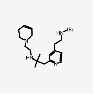 CC(C)(C)NCCc1ccnc(CC(C)(C)NCCN2CC=CCC2)c1